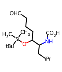 CC(C)CC(NC(=O)O)C(CCCC=O)O[Si](C)(C)C(C)(C)C